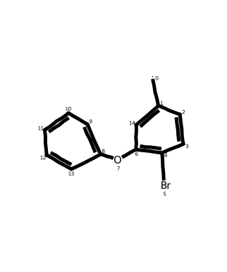 [CH2]c1ccc(Br)c(Oc2ccccc2)c1